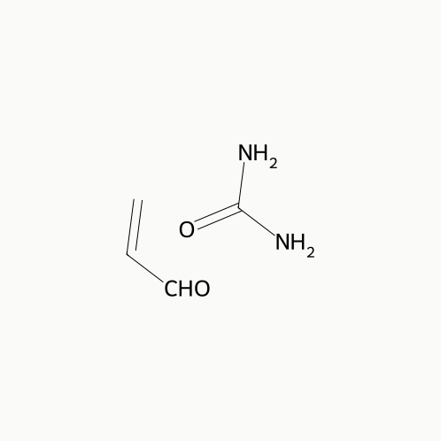 C=CC=O.NC(N)=O